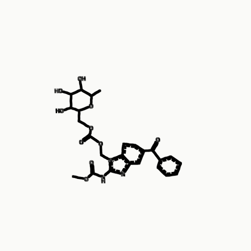 COC(=O)Nc1nc2cc(C(=O)c3ccccc3)ccc2n1COC(=O)OCC1OC(C)C(O)C(O)C1O